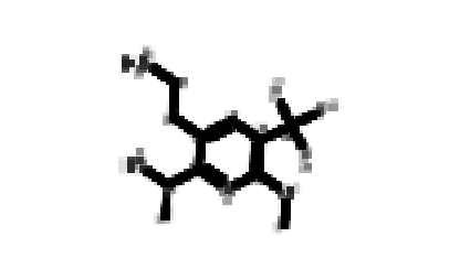 COc1nc([C@@H](C)O)c(CCN)cc1C(F)(F)F